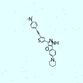 CN(C)c1ccc(C#Cc2cc(-c3n[nH]c4c3oc3cc(N5CCCCC5)ccc34)cs2)cc1